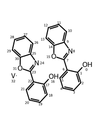 Oc1ccccc1-c1nc2ccccc2o1.Oc1ccccc1-c1nc2ccccc2o1.[V]